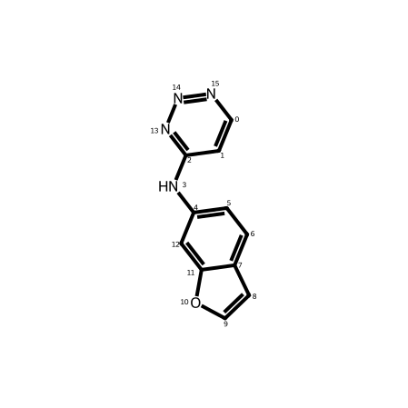 c1cc(Nc2ccc3ccoc3c2)nnn1